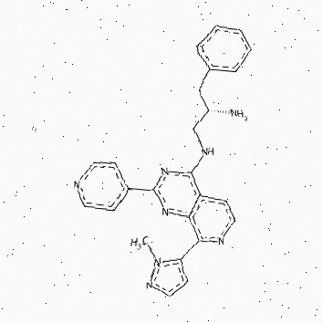 Cn1nccc1-c1nccc2c(NC[C@@H](N)Cc3ccccc3)nc(-c3ccncc3)nc12